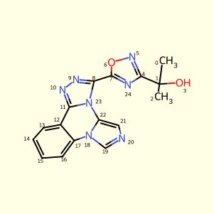 CC(C)(O)c1noc(-c2nnc3c4ccccc4n4cncc4n23)n1